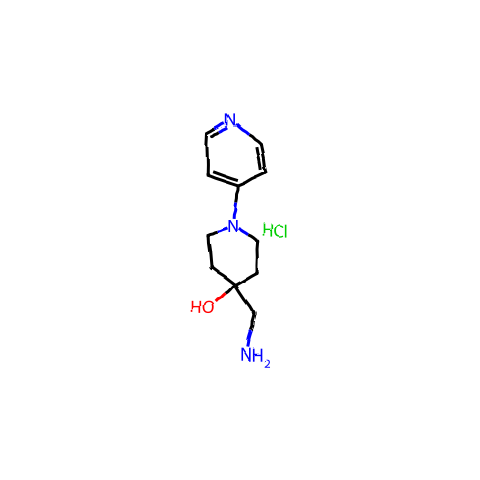 Cl.NCC1(O)CCN(c2ccncc2)CC1